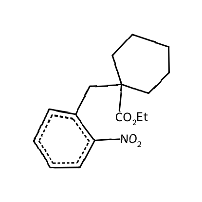 CCOC(=O)C1(Cc2ccccc2[N+](=O)[O-])CCCCC1